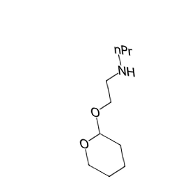 CCCNCCOC1CCCCO1